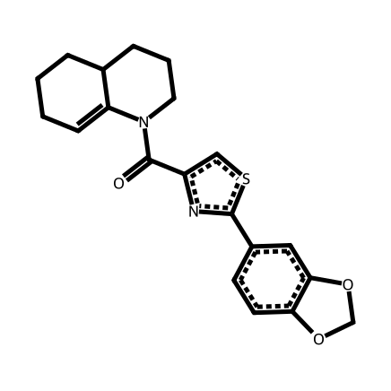 O=C(c1csc(-c2ccc3c(c2)OCO3)n1)N1CCCC2CCCC=C21